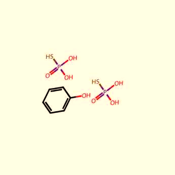 O=P(O)(O)S.O=P(O)(O)S.Oc1ccccc1